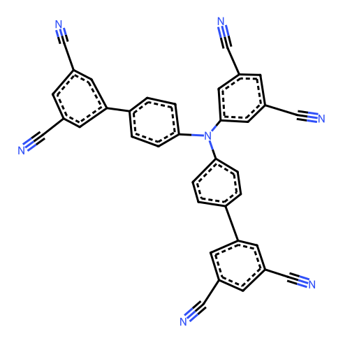 N#Cc1cc(C#N)cc(-c2ccc(N(c3ccc(-c4cc(C#N)cc(C#N)c4)cc3)c3cc(C#N)cc(C#N)c3)cc2)c1